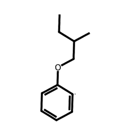 CCC(C)COc1[c]cccc1